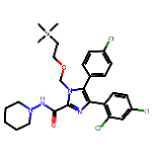 C[Si](C)(C)CCOCn1c(C(=O)NN2CCCCC2)nc(-c2ccc(Cl)cc2Cl)c1-c1ccc(Cl)cc1